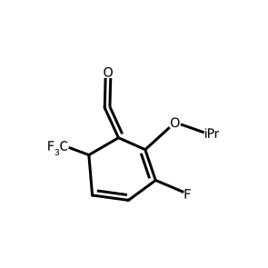 CC(C)OC1=C(F)C=CC(C(F)(F)F)C1=C=O